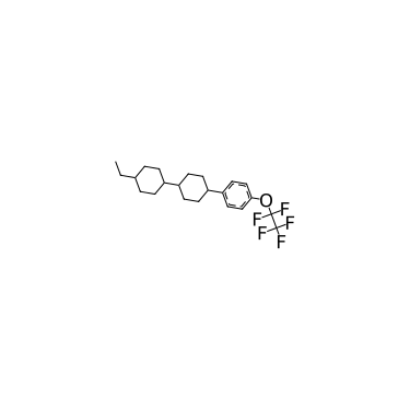 CCC1CCC(C2CCC(c3ccc(OC(F)(F)C(F)(F)F)cc3)CC2)CC1